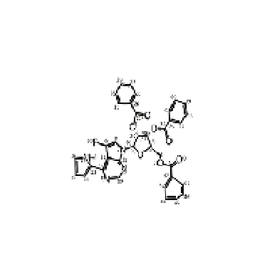 O=C(OC[C@H]1O[C@@H](n2cc(F)c3c(-c4ccc[nH]4)ncnc32)[C@H](OC(=O)c2ccccc2)[C@@H]1OC(=O)c1ccccc1)c1ccccc1